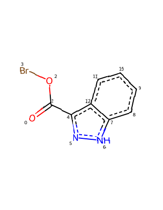 O=C(OBr)c1n[nH]c2ccccc12